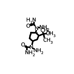 CC(C)(C)C1CC(N(N)C(N)=O)CC[C]1N(N)C(N)=O